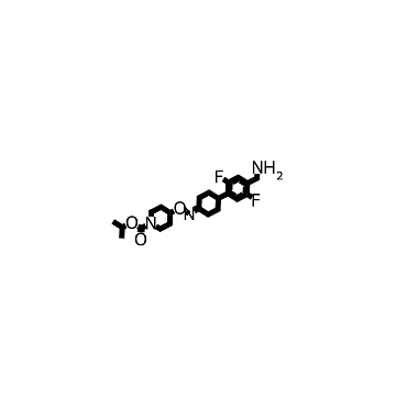 CC(C)OC(=O)N1CCC(ON=C2CCC(c3cc(F)c(CN)cc3F)CC2)CC1